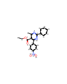 CCOC(=O)c1c(C)nc(-c2ccccc2)nc1-c1ccc([N+](=O)[O-])cc1